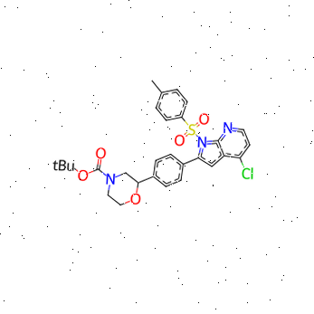 Cc1ccc(S(=O)(=O)n2c(-c3ccc(C4CN(C(=O)OC(C)(C)C)CCO4)cc3)cc3c(Cl)ccnc32)cc1